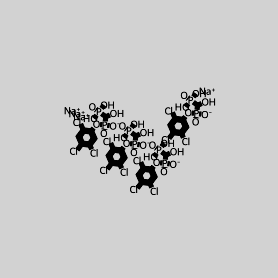 O=P(O)(O)C(O)P(=O)([O-])Oc1cc(Cl)c(Cl)cc1Cl.O=P(O)(O)C(O)P(=O)([O-])Oc1cc(Cl)c(Cl)cc1Cl.O=P(O)(O)C(O)P(=O)([O-])Oc1cc(Cl)c(Cl)cc1Cl.O=P(O)(O)C(O)P(=O)([O-])Oc1cc(Cl)c(Cl)cc1Cl.[Na+].[Na+].[Na+].[Na+]